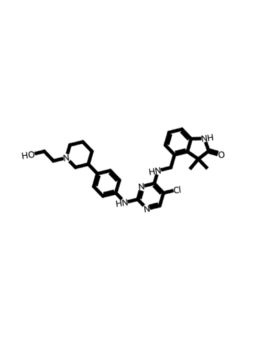 CC1(C)C(=O)Nc2cccc(CNc3nc(Nc4ccc(C5CCCN(CCO)C5)cc4)ncc3Cl)c21